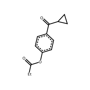 CCC(=O)Oc1ccc(C(=O)C2CC2)cc1